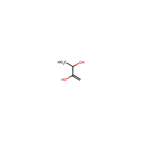 C=C(O)C(O)C(=O)O